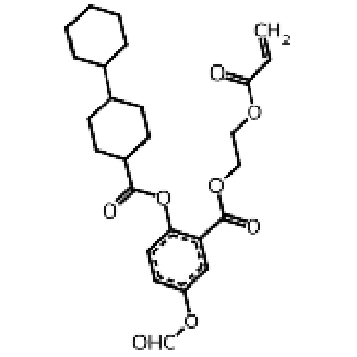 C=CC(=O)OCCOC(=O)c1cc(OC=O)ccc1OC(=O)C1CCC(C2CCCCC2)CC1